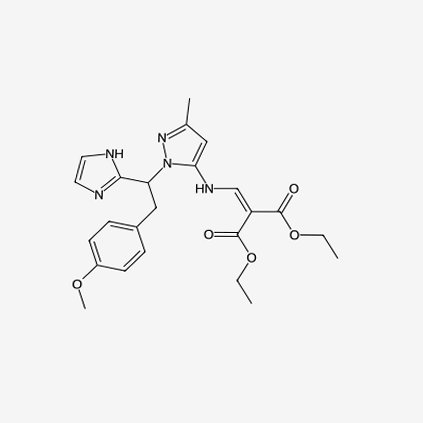 CCOC(=O)C(=CNc1cc(C)nn1C(Cc1ccc(OC)cc1)c1ncc[nH]1)C(=O)OCC